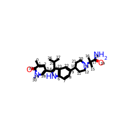 Cc1cc(-c2[nH]c3ccc(C4CCN(C(C)(C)C(N)=O)CC4)cc3c2C(C)C)cn(C)c1=O